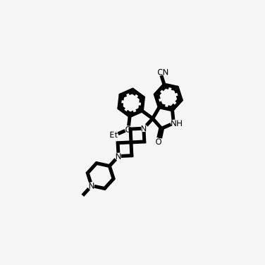 CCOc1ccccc1C1(N2CC3(CN(C4CCN(C)CC4)C3)C2)C(=O)Nc2ccc(C#N)cc21